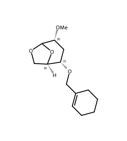 CO[C@@H]1C[C@H](OCC2=CCCCC2)[C@H]2COC1O2